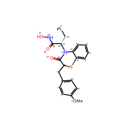 COc1ccc(CC2Sc3ccccc3N([C@@H](CC(C)C)C(=O)NO)C2=O)cc1